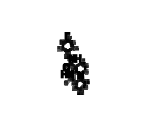 C[C@H](Nc1ncc[c]c1C(=O)NCc1ccc(F)cc1)c1ccccc1